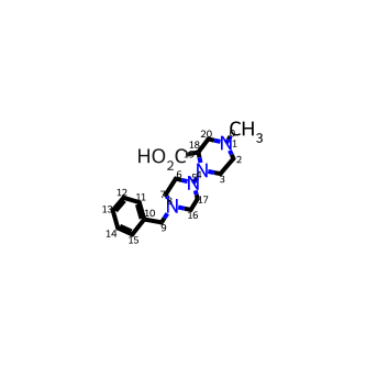 CN1CCN(N2CCN(Cc3ccccc3)CC2)C(C(=O)O)C1